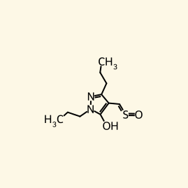 CCCc1nn(CCC)c(O)c1C=S=O